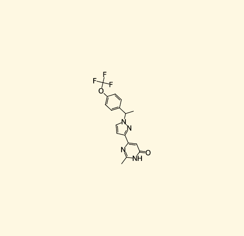 Cc1nc(-c2ccn(C(C)c3ccc(OC(F)(F)F)cc3)n2)cc(=O)[nH]1